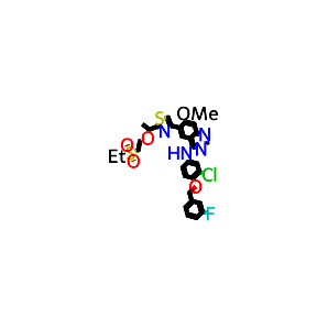 CCS(=O)(=O)CCOC(C)c1nc(-c2cc3c(Nc4ccc(OCc5cccc(F)c5)c(Cl)c4)ncnc3cc2OC)cs1